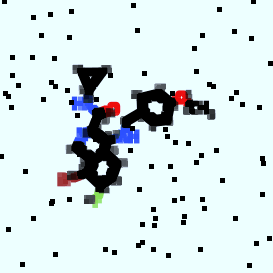 COc1ccc(CNc2c(C(=O)NC3CC3)ncc3c(Br)c(F)ccc23)cc1